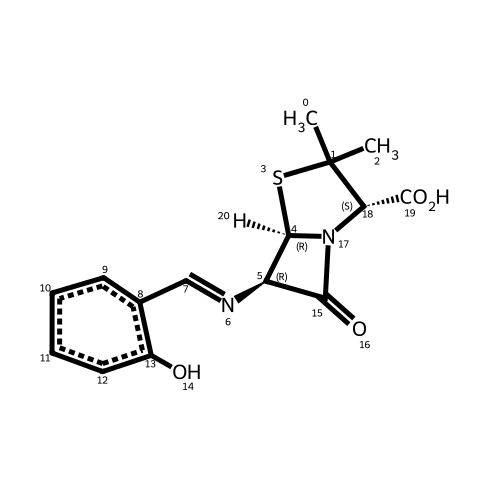 CC1(C)S[C@@H]2[C@H](N=Cc3ccccc3O)C(=O)N2[C@H]1C(=O)O